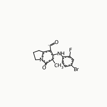 Cc1c(Nc2ccc(Br)cc2F)c([C]=O)c2n(c1=O)CCC2